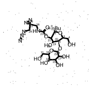 CCCC[C@@H]1OC(CO)[C@@H](O[C@@H]2OC(CO)[C@H](O)C(O)C2O)C(O)C1OC(=O)NCC1(CN=[N+]=[N-])N=N1